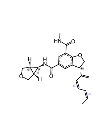 C=C(/C=C\C=C/C)[C@H]1COc2c(C(=O)NC)cc(C(=O)N[C@H]3[C@@H]4COC[C@@H]43)cc21